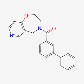 O=C(c1cccc(-c2ccccc2)c1)N1CCOc2ccncc2C1